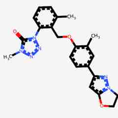 Cc1cc(-c2cc3n(n2)CCO3)ccc1OCc1c(C)cccc1-n1nnn(C)c1=O